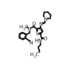 CCCCNC(=O)c1cc(/N=C/N2CCCCC2)c(C(=O)N(C)Cc2ccccc2C#N)s1